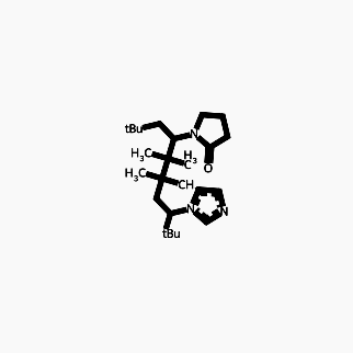 CC(C)(C)CC(N1CCCC1=O)C(C)(C)C(C)(C)CC(n1ccnc1)C(C)(C)C